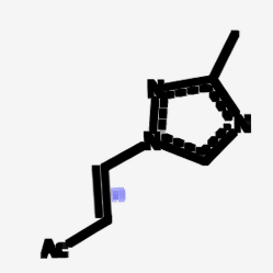 CC(=O)/C=C/n1cnc(C)n1